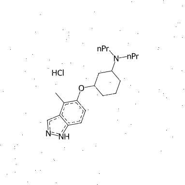 CCCN(CCC)C1CCCC(Oc2ccc3[nH]ncc3c2C)C1.Cl